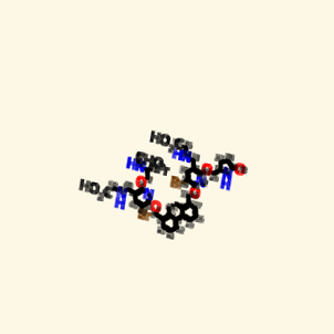 CCCC(COc1nc(OCc2cccc(-c3cccc(COc4nc(OCC5CCC(=O)N5)c(CNCC(=O)O)cc4Br)c3C)c2C)c(Br)cc1CNCC(=O)O)NC=O